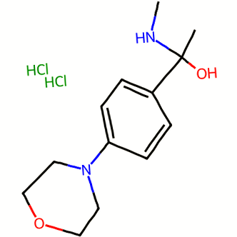 CNC(C)(O)c1ccc(N2CCOCC2)cc1.Cl.Cl